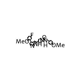 COc1ccc(CNC(=O)N2CC=C(c3cc4c(-c5cc(F)ccc5OC)ccnc4[nH]3)CC2)cc1